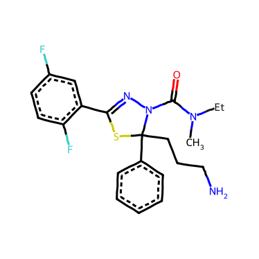 CCN(C)C(=O)N1N=C(c2cc(F)ccc2F)SC1(CCCN)c1ccccc1